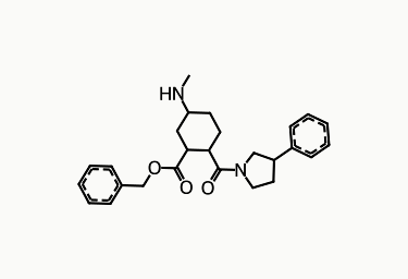 CNC1CCC(C(=O)N2CCC(c3ccccc3)C2)C(C(=O)OCc2ccccc2)C1